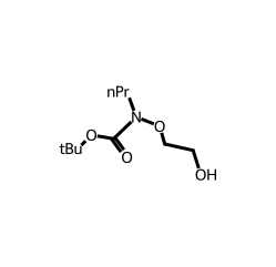 CCCN(OCCO)C(=O)OC(C)(C)C